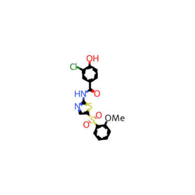 COc1ccccc1S(=O)(=O)c1cnc(NC(=O)c2ccc(O)c(Cl)c2)s1